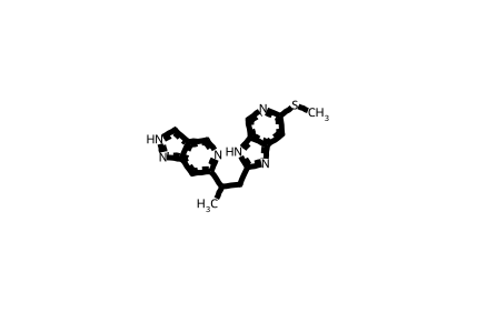 CSc1cc2nc(CC(C)c3cc4n[nH]cc4cn3)[nH]c2cn1